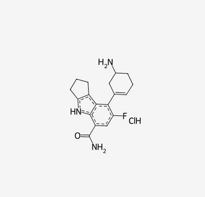 Cl.NC(=O)c1cc(F)c(C2=CCCC(N)C2)c2c3c([nH]c12)CCC3